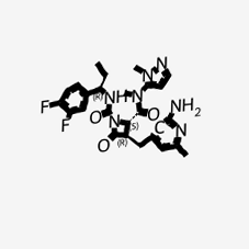 CC[C@@H](NC(=O)N1C(=O)[C@H](Cc2cc(C)nc(N)c2)[C@H]1C(=O)N(C)c1ccnn1C)c1ccc(F)c(F)c1